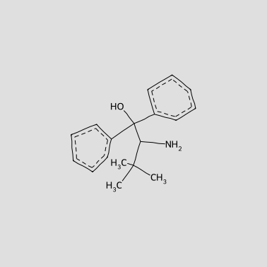 CC(C)(C)C(N)C(O)(c1ccccc1)c1ccccc1